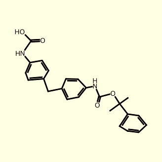 CC(C)(OC(=O)Nc1ccc(Cc2ccc(NC(=O)O)cc2)cc1)c1ccccc1